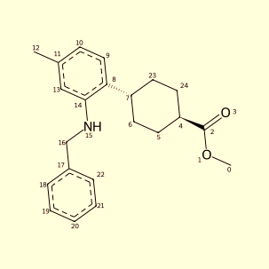 COC(=O)[C@H]1CC[C@H](c2ccc(C)cc2NCc2ccccc2)CC1